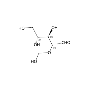 O=C[C@H](OCO)[C@H](O)[C@H](O)CO